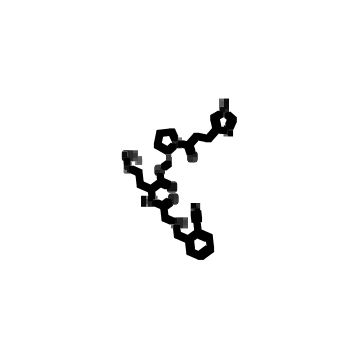 CSCCC(NC(=O)CNCc1ccccc1C#N)C(=O)OC[C@@H]1CCCN1C(=O)CCc1c[nH]cn1